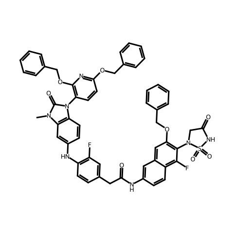 Cn1c(=O)n(-c2ccc(OCc3ccccc3)nc2OCc2ccccc2)c2ccc(Nc3ccc(CC(=O)Nc4ccc5c(F)c(N6CC(=O)NS6(=O)=O)c(OCc6ccccc6)cc5c4)cc3F)cc21